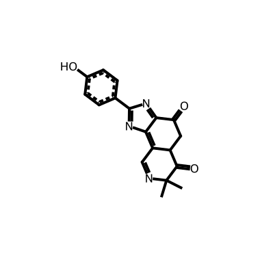 CC1(C)N=CC2=C3N=C(c4ccc(O)cc4)N=C3C(=O)CC2C1=O